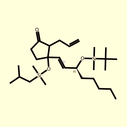 C=CCC1C(=O)CCC1(/C=C/[C@H](CCCCC)O[Si](C)(C)C(C)(C)C)O[Si](C)(C)CC(C)C